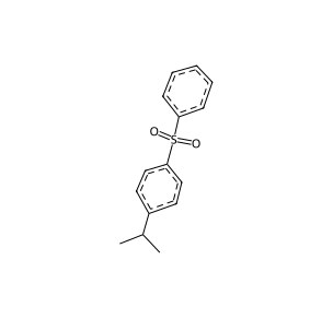 CC(C)c1ccc(S(=O)(=O)c2ccccc2)cc1